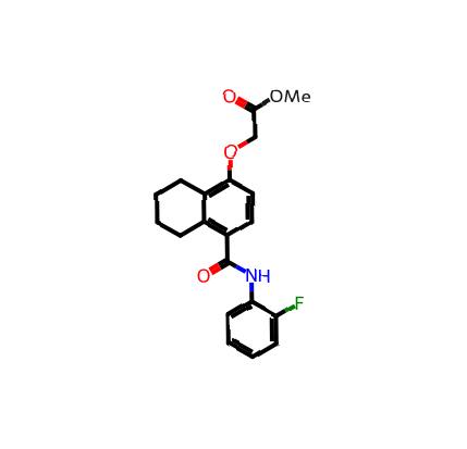 COC(=O)COc1ccc(C(=O)Nc2ccccc2F)c2c1CCCC2